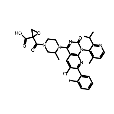 Cc1ccnc(C(C)C)c1-n1c(=O)nc(N2CCN(C(=O)C3(C(=O)O)CO3)CC2C)c2cc(Cl)c(-c3ccccc3F)nc21